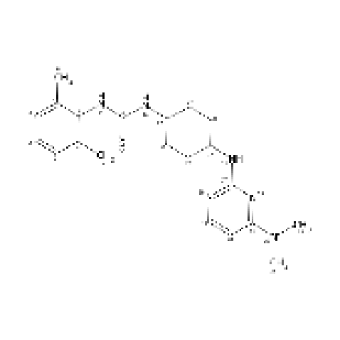 Cc1cccc(C)c1NC(=S)NC1CCC(Nc2nccc(N(C)C)n2)CC1